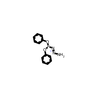 N/N=N/P(Oc1ccccc1)Oc1ccccc1